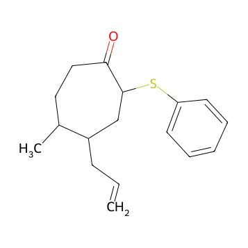 C=CCC1CC(Sc2ccccc2)C(=O)CCC1C